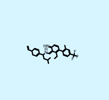 C=CC1C=CC(C(CC(C)C)N/C=C2\C(=N)C=CC(c3ccc(C(F)(F)F)cc3C)=C2CC)=CC1